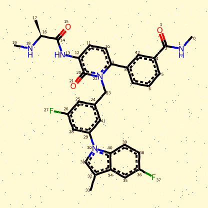 CNC(=O)c1cccc(-c2ccc(NC(=O)[C@H](C)NC)c(=O)n2Cc2cc(F)cc(-n3cc(C)c4cc(F)ccc43)c2)c1